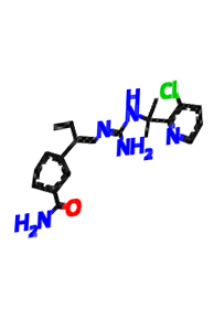 C=C/C(=C\N=C(/N)NC(C)(C)c1ncccc1Cl)c1cccc(C(N)=O)c1